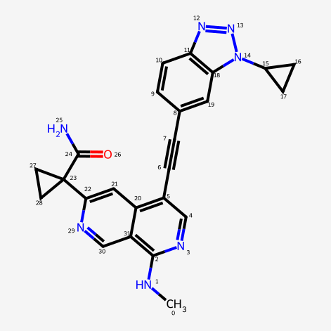 CNc1ncc(C#Cc2ccc3nnn(C4CC4)c3c2)c2cc(C3(C(N)=O)CC3)ncc12